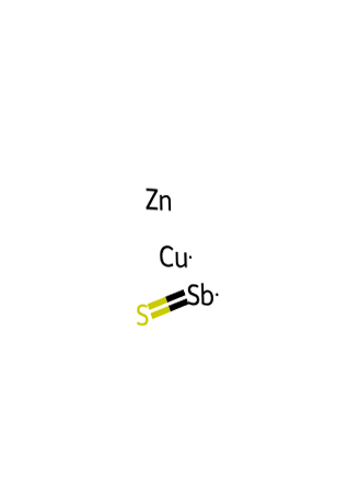 [Cu].[S]=[Sb].[Zn]